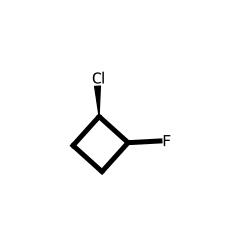 FC1CC[C@H]1Cl